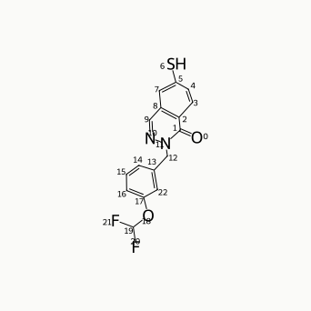 O=c1c2ccc(S)cc2cnn1Cc1cccc(OC(F)F)c1